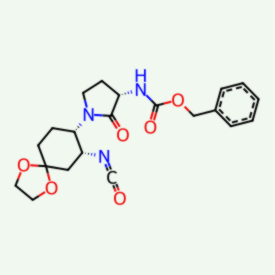 O=C=N[C@@H]1CC2(CC[C@@H]1N1CC[C@H](NC(=O)OCc3ccccc3)C1=O)OCCO2